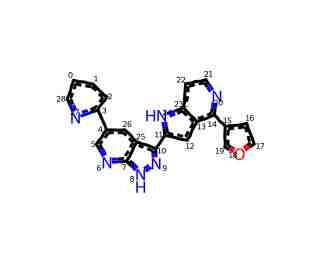 c1ccc(-c2cnc3[nH]nc(-c4cc5c(-c6ccoc6)nccc5[nH]4)c3c2)nc1